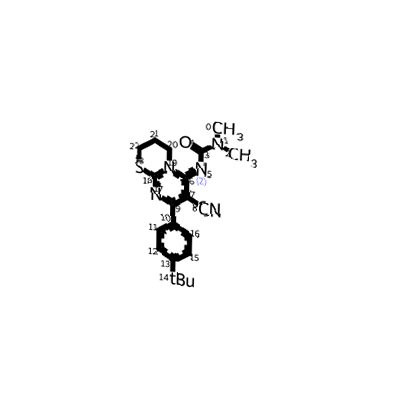 CN(C)C(=O)/N=c1/c(C#N)c(-c2ccc(C(C)(C)C)cc2)nc2n1CCCS2